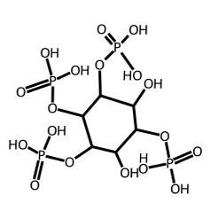 O=P(O)(O)OC1C(O)C(OP(=O)(O)O)C(OP(=O)(O)O)C(OP(=O)(O)O)C1O